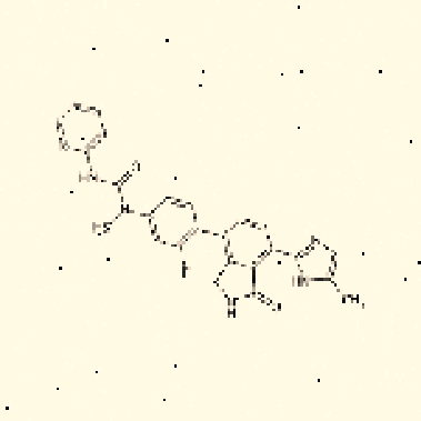 Cc1cnc(-c2ccc(-c3ccc(N(S)C(=O)Nc4ccccn4)cc3F)c3c2C(=O)NC3)[nH]1